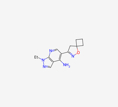 CCn1ncc2c(N)c(C3=NOC4(CCC4)C3)cnc21